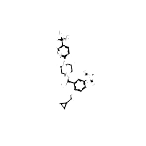 CS(=O)(=O)c1ccc(OCC2CC2)c(C(=O)N2CCN(c3ccc(C(F)(F)F)cn3)CC2)c1